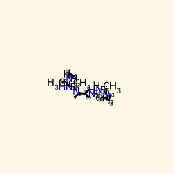 C[SiH](N[SiH](C)N1CC(C2CN2[SiH](C)N[SiH](C)N2CC2)C1)N1CCC1